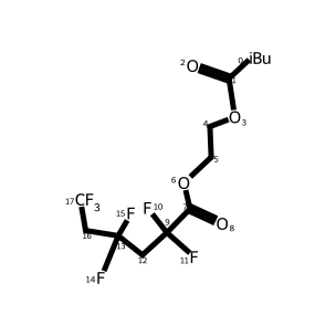 CCC(C)C(=O)OCCOC(=O)C(F)(F)CC(F)(F)CC(F)(F)F